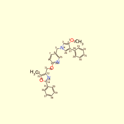 COc1cn(Cc2ccc(OCc3nc(-c4ccccc4)oc3C)nc2)cc1-c1ccccc1